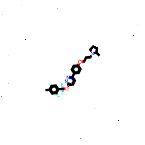 Cc1ccc(C(F)(F)Oc2ccc(-c3ccc(OCCCN4CCCC4C)cc3)nn2)c(F)c1